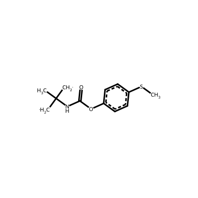 [CH2]C([CH2])(C)NC(=O)Oc1ccc(SC)cc1